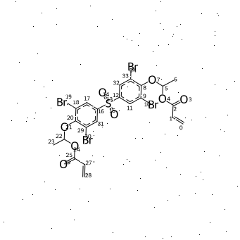 C=CC(=O)OC(C)Oc1c(Br)cc(S(=O)(=O)c2cc(Br)c(OC(C)OC(=O)C=C)c(Br)c2)cc1Br